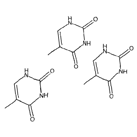 Cc1c[nH]c(=O)[nH]c1=O.Cc1c[nH]c(=O)[nH]c1=O.Cc1c[nH]c(=O)[nH]c1=O